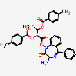 Cc1ccc(C(=O)O[C@H](C(=O)O)[C@H](OC(=O)c2ccc(C)cc2)C(=O)ON2C(=O)C(N)N=C(c3ccccc3)c3ccccc32)cc1